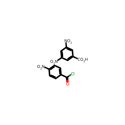 O=C(Cl)c1ccc([N+](=O)[O-])cc1.O=C(O)c1cc([N+](=O)[O-])cc([N+](=O)[O-])c1